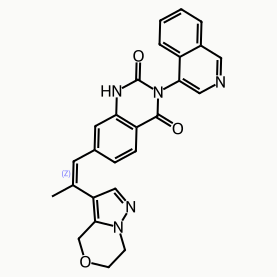 C/C(=C/c1ccc2c(=O)n(-c3cncc4ccccc34)c(=O)[nH]c2c1)c1cnn2c1COCC2